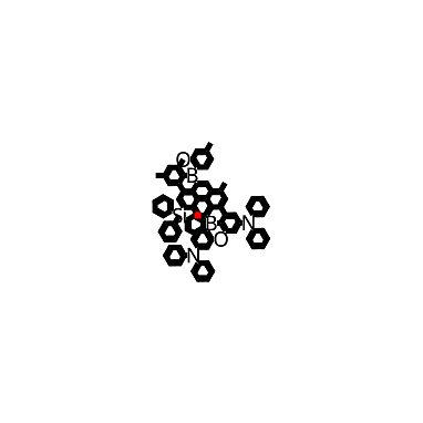 Cc1ccc2c(c1)Oc1cc(C)cc3c1B2c1cc2c(C)cc4c5c(cc6c([Si](c7ccccc7)(c7ccccc7)c7ccccc7)cc-3c1c6c25)B1c2ccc(N(c3ccccc3)c3ccccc3)cc2Oc2cc(N(c3ccccc3)c3ccccc3)cc-4c21